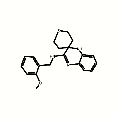 COc1ccccc1CNC1=Nc2ccccc2NC12CCSCC2